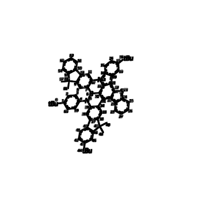 CC(C)(C)c1ccc(N2B3c4cc5c(cc4-n4c6ccc(C(C)(C)C)cc6c6c7sc8ccccc8c7c(c3c64)-c3cc4c(cc32)-c2ccc(C(C)(C)C)cc2C4(C)C)-c2ccccc2C5(C)C)cc1